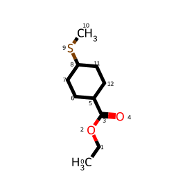 CCOC(=O)C1CCC(SC)CC1